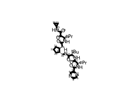 CCC[C@H](NC(=O)c1cnccn1)C(=O)N[C@H](C(=O)NC[C@@H]1CCC[C@@H]1CC(=O)N[C@@H](CCC)C(=O)C(=O)NC1CC1)C(C)(C)C